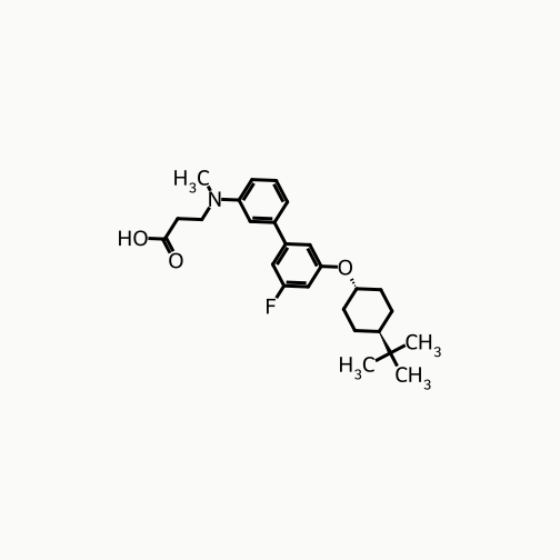 CN(CCC(=O)O)c1cccc(-c2cc(F)cc(O[C@H]3CC[C@H](C(C)(C)C)CC3)c2)c1